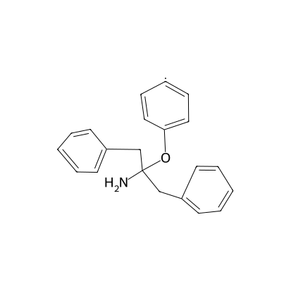 NC(Cc1ccccc1)(Cc1ccccc1)Oc1cc[c]cc1